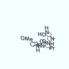 C=NCC(CC1CCCNC1O)NC(=O)C(CC(C)C)NC(=O)c1cc2c(OC)cccc2[nH]1